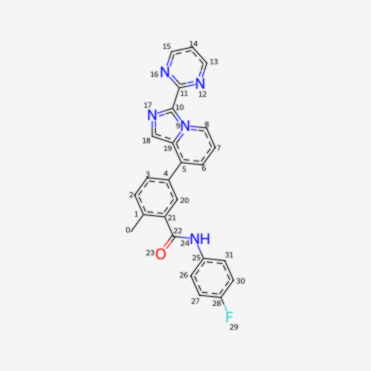 Cc1ccc(-c2cccn3c(-c4ncccn4)ncc23)cc1C(=O)Nc1ccc(F)cc1